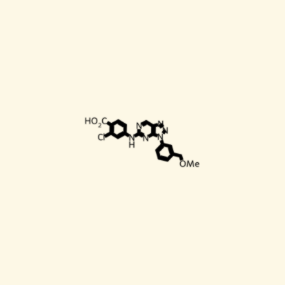 COCc1cccc(-n2nnc3cnc(Nc4ccc(C(=O)O)c(Cl)c4)nc32)c1